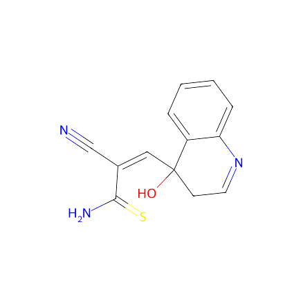 N#CC(=CC1(O)CC=Nc2ccccc21)C(N)=S